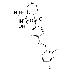 Cc1cc(F)ccc1COc1ccc(S(=O)(=O)C2CCOCC2(N)C(=O)NO)cc1